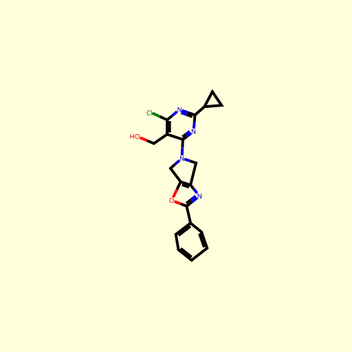 OCc1c(Cl)nc(C2CC2)nc1N1Cc2nc(-c3ccccc3)oc2C1